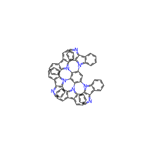 c1ccc2c(c1)c1ccccc1n2-c1c(-n2c3ccccc3c3ncccc32)cc(-n2c3ccccc3c3ncccc32)c(-n2c3ccccc3c3ccccc32)c1-n1c2ccccc2c2ncccc21